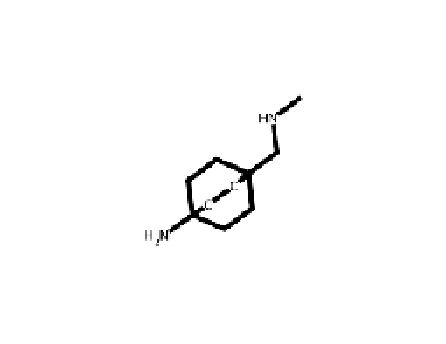 CNCC12CCC(N)(CC1)CC2